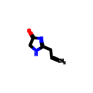 C=CCC1=NC(=O)CN1